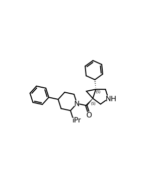 CC(C)C1CC(c2ccccc2)CCN1C(=O)[C@]12CNC[C@]1(C1C=CC=CC1)C2